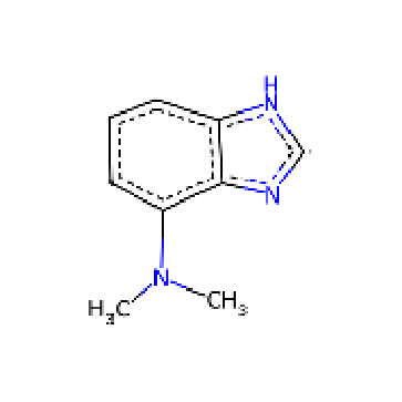 CN(C)c1cccc2[nH][c]nc12